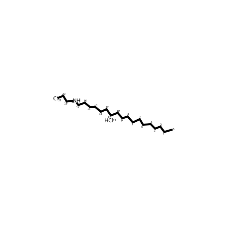 CCCCCCCCCCCCCCCCCCNCCCl.Cl